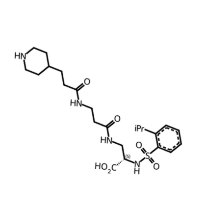 CC(C)c1ccccc1S(=O)(=O)N[C@@H](CNC(=O)CCNC(=O)CCC1CCNCC1)C(=O)O